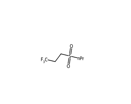 CCCS(=O)(=O)CCC(F)(F)F